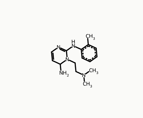 Cc1ccccc1NC1=NC=CC(N)N1CCN(C)C